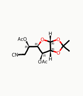 [C-]#[N+]C[C@@H](OC(C)=O)[C@H]1O[C@@H]2OC(C)(C)O[C@@H]2[C@H]1OC(C)=O